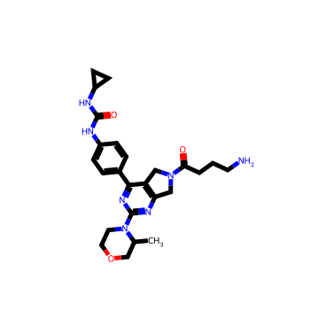 CC1COCCN1c1nc2c(c(-c3ccc(NC(=O)NC4CC4)cc3)n1)CN(C(=O)CCCN)C2